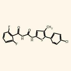 Cc1cc(NC(=O)NC(=O)c2c(F)cccc2F)sc1-c1ccc(Cl)cc1